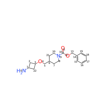 NC1CC(OCC2CCN(C(=O)OCc3ccccc3)CC2)C1